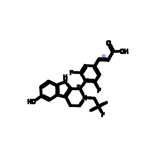 CC(C)(F)CN1CCc2c([nH]c3ccc(O)cc23)[C@H]1c1c(F)cc(/C=C/C(=O)O)cc1F